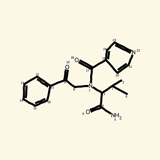 CC(C)C(C(N)=O)N(CC(=O)c1ccccc1)C(=O)c1ccncc1